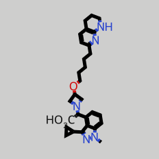 Cn1nc(C2CC2)c2c(C(C(=O)O)N3CC(OCCCCCc4ccc5c(n4)NCCC5)C3)cccc21